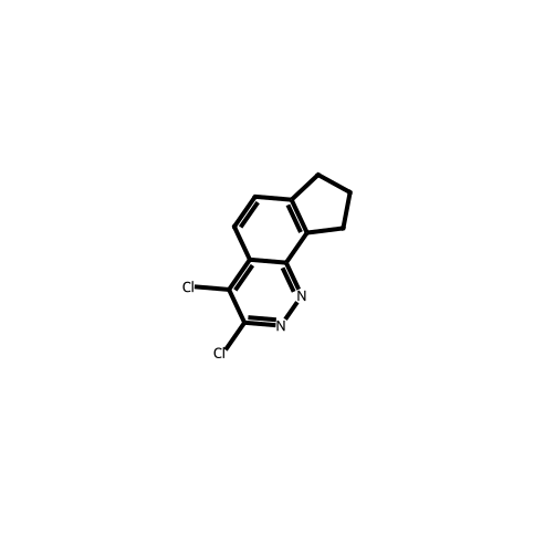 Clc1nnc2c3c(ccc2c1Cl)CCC3